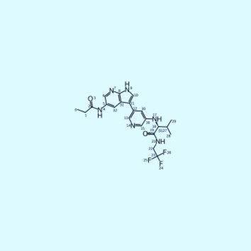 CCC(=O)Nc1cnc2[nH]cc(-c3cncc(N[C@H](C(=O)NCC(F)(F)F)C(C)C)c3)c2c1